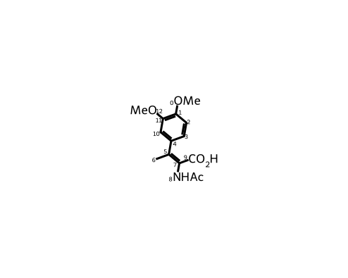 COc1ccc(C(C)=C(NC(C)=O)C(=O)O)cc1OC